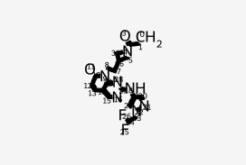 C=CC(=O)N1CC(CCn2c(=O)ccc3cnc(Nc4cnn(CC(F)F)c4)nc32)C1